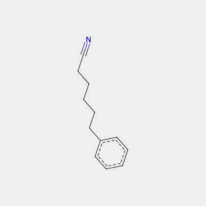 N#CCCCCCc1ccccc1